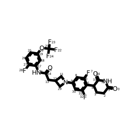 O=C1CCC(c2c(F)cc(N3CC(CC(=O)Nc4cc(OC(F)(F)F)ccc4F)C3)cc2F)C(=O)N1